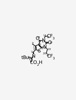 Cc1c(C=NN(C(=O)O)C(C)(C)C)sc2c1c(=O)n(CC(F)(F)F)c(=O)n2CCC(F)(F)F